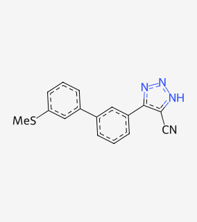 CSc1cccc(-c2cccc(-c3nn[nH]c3C#N)c2)c1